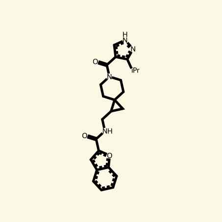 CC(C)c1n[nH]cc1C(=O)N1CCC2(CC1)CC2CNC(=O)c1cc2ccccc2o1